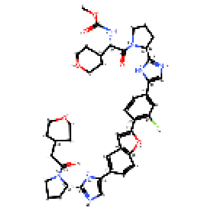 COC(=O)N[C@H](C(=O)N1CCC[C@H]1c1ncc(-c2ccc(-c3cc4cc(-c5cnc([C@@H]6CCCN6C(=O)CC6CCOCC6)[nH]5)ccc4o3)c(F)c2)[nH]1)C1CCOCC1